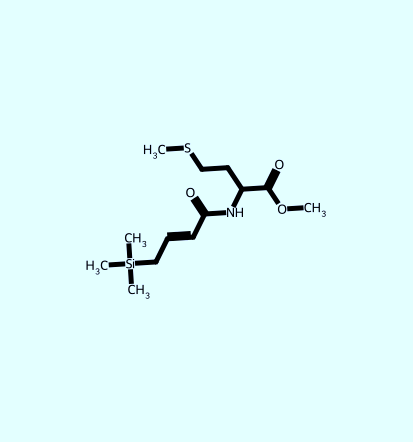 COC(=O)C(CCSC)NC(=O)C=CC[Si](C)(C)C